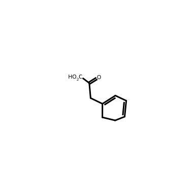 O=C(O)C(=O)CC1=CC=CCC1